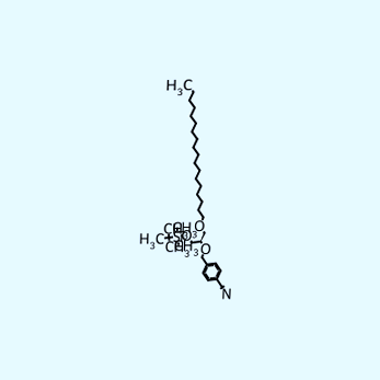 CCCCCCCCCCCCCCCCCCOC[C@H](CO[Si](C)(C)C(C)(C)C)OCc1ccc(C#N)cc1